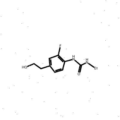 CCNC(=O)Nc1ccc(CCO)cc1F